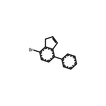 Brc1ccc(-c2ccccc2)c2c1CC=C2